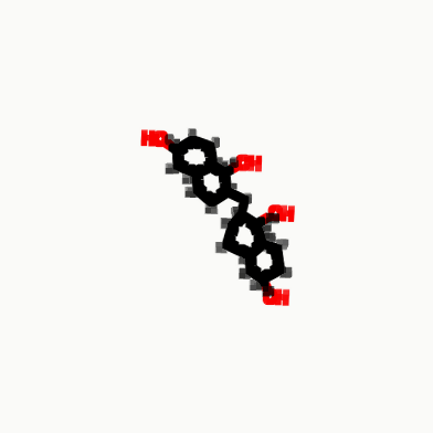 Oc1ccc2c(O)c(Cc3ccc4cc(O)ccc4c3O)ccc2c1